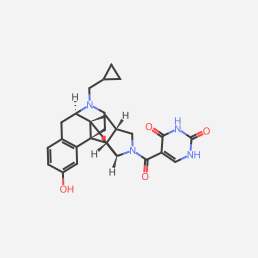 O=C(c1c[nH]c(=O)[nH]c1=O)N1C[C@H]2C[C@@]34CC[C@@H]1[C@@H]2[C@@]31CCN(CC2CC2)[C@@H]4Cc2ccc(O)cc21